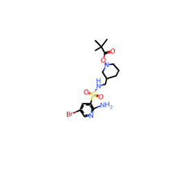 CC(C)(C)C(=O)ON1CCCC(CNS(=O)(=O)c2cc(Br)cnc2N)C1